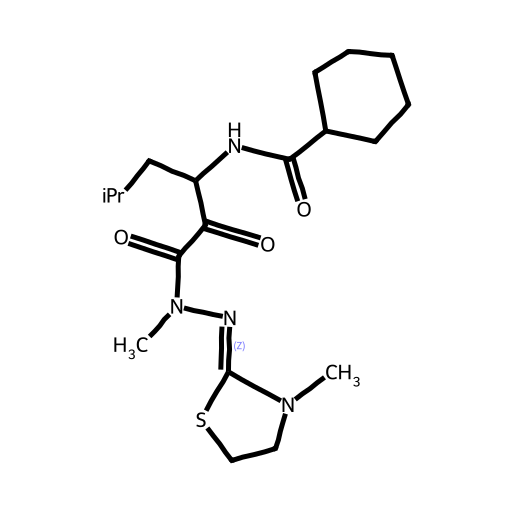 CC(C)CC(NC(=O)C1CCCCC1)C(=O)C(=O)N(C)/N=C1\SCCN1C